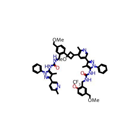 COCc1ccc(OC(F)(F)F)c(CNC(=O)Nc2c(C)c(-c3cnc(C)c(C4CC(OC)(c5ccc(COC)cc5CNC(=O)Nc5c(C)c(-c6ccc(C)nc6)nn5-c5ccccc5)C4)c3)nn2-c2ccccc2)c1